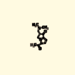 CC(=O)c1ccc2n1CC(CN(C)C)C2=O